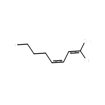 C/C(=C\C=C/CCCC(C)C)[N+](=O)[O-]